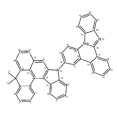 CC1(C)c2ccccc2-c2c3c1cccc3cc1c2c2ccccc2n1-c1ccc2c(c1)c1ccccc1c1nc3ccccc3n21